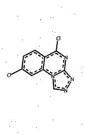 Clc1ccc2c(Cl)nc3nncn3c2c1